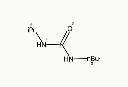 CCC[CH]NC(=O)NC(C)C